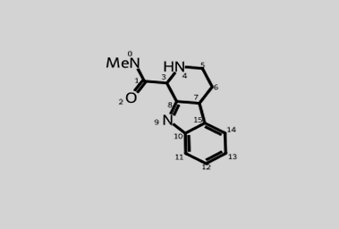 CNC(=O)C1NCCC2C1=Nc1ccccc12